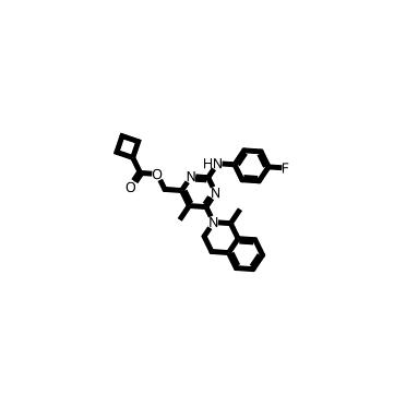 Cc1c(COC(=O)C2CCC2)nc(Nc2ccc(F)cc2)nc1N1CCc2ccccc2C1C